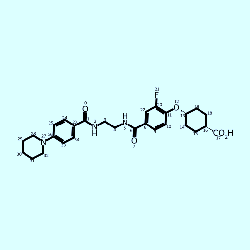 O=C(NCCNC(=O)c1ccc(O[C@H]2CC[C@@H](C(=O)O)CC2)c(F)c1)c1ccc(N2CCCCC2)cc1